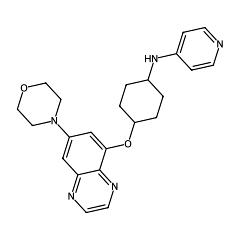 c1cc(NC2CCC(Oc3cc(N4CCOCC4)cc4nccnc34)CC2)ccn1